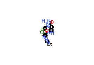 CCN1CCN(c2cc(C(=O)Nc3ccc4c(c3)-c3c(c(C(N)=O)nn3-c3ccc(F)cc3)CC4)c(Cl)cn2)CC1